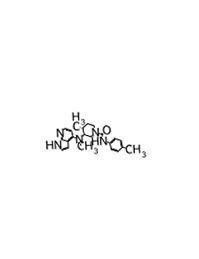 Cc1ccc(NC(=O)N2CC[C@@H](C)C(N(C)c3ccnc4[nH]ccc34)C2)cc1